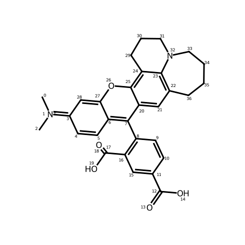 C[N+](C)=c1ccc2c(-c3ccc(C(=O)O)cc3C(=O)O)c3cc4c5c(c3oc-2c1)CCCN5CCCC4